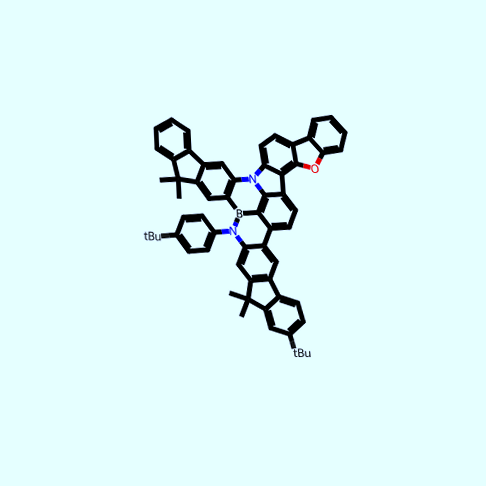 CC(C)(C)c1ccc(N2B3c4cc5c(cc4-n4c6ccc7c8ccccc8oc7c6c6ccc(c3c64)-c3cc4c(cc32)C(C)(C)c2cc(C(C)(C)C)ccc2-4)-c2ccccc2C5(C)C)cc1